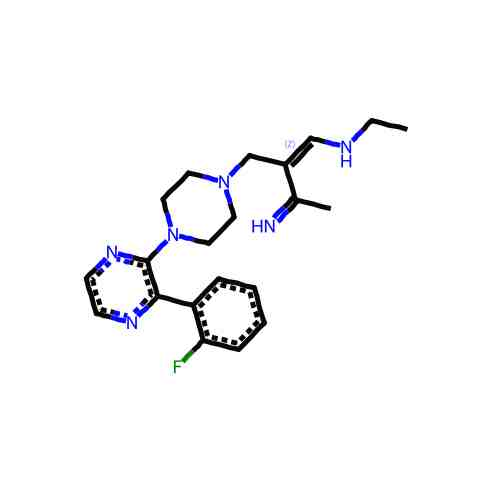 CCN/C=C(/CN1CCN(c2nccnc2-c2ccccc2F)CC1)C(C)=N